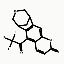 O=C(c1c2c(cc3[nH]c(=O)ccc13)C1CNCC2C1)C(F)(F)F